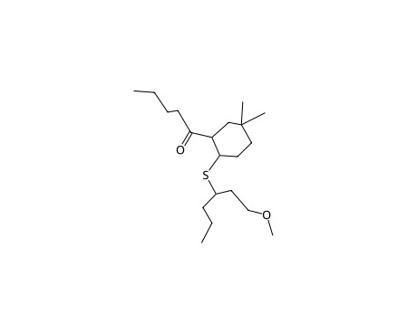 CCCCC(=O)C1CC(C)(C)CCC1SC(CCC)CCOC